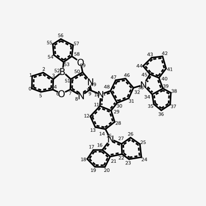 c1ccc2c(c1)Oc1nc(-n3c4ccc(-n5c6ccccc6c6ccccc65)cc4c4cc(-n5c6ccccc6c6ccccc65)ccc43)nc3c1B2c1ccccc1O3